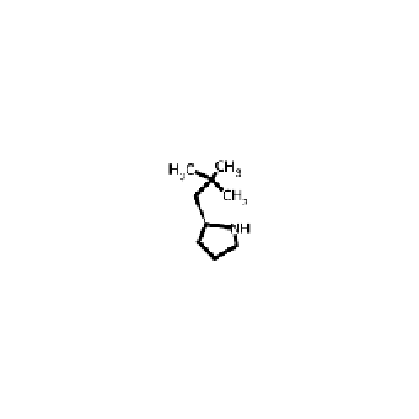 CC(C)(C)C[C@@H]1CCCN1